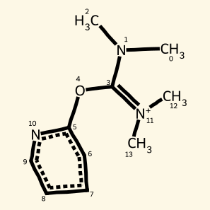 CN(C)C(Oc1ccccn1)=[N+](C)C